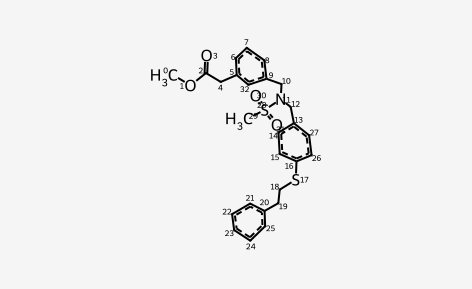 COC(=O)Cc1cccc(CN(Cc2ccc(SCCc3ccccc3)cc2)S(C)(=O)=O)c1